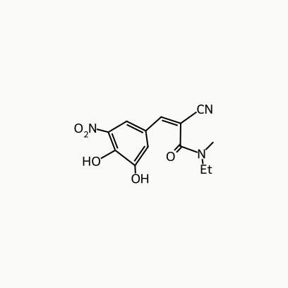 CCN(C)C(=O)C(C#N)=Cc1cc(O)c(O)c([N+](=O)[O-])c1